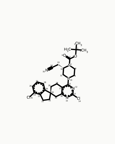 CC(C)(C)OC(=O)N1CCN(c2nc(Cl)nc3c2CC[C@]2(CCc4c(Cl)cccc42)C3)C[C@@H]1CC#N